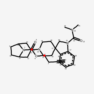 C#CCCOC(=O)N1C2CCC1CC(N1CCC3(CC1)CN(C(=O)N(C)C)c1ccccc13)C2